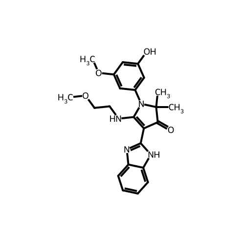 COCCNC1=C(c2nc3ccccc3[nH]2)C(=O)C(C)(C)N1c1cc(O)cc(OC)c1